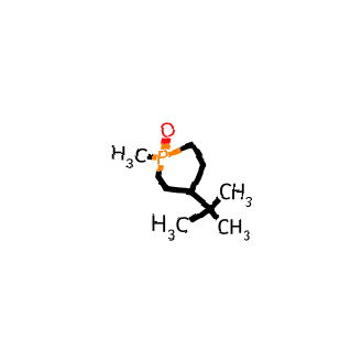 CC(C)(C)C1CCP(C)(=O)CC1